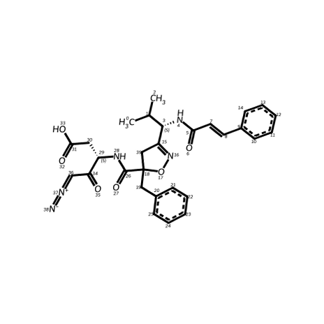 CC(C)[C@H](NC(=O)C=Cc1ccccc1)C1=NOC(Cc2ccccc2)(C(=O)N[C@@H](CC(=O)O)C(=O)C=[N+]=[N-])C1